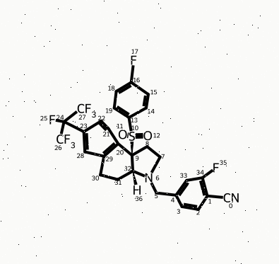 N#Cc1ccc(CN2CC[C@@]3(S(=O)(=O)c4ccc(F)cc4)c4ccc(C(F)(C(F)(F)F)C(F)(F)F)cc4CC[C@@H]23)cc1F